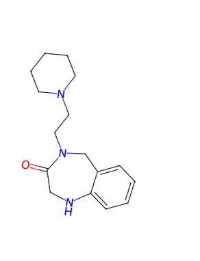 O=C1CNc2ccccc2CN1CCN1CCCCC1